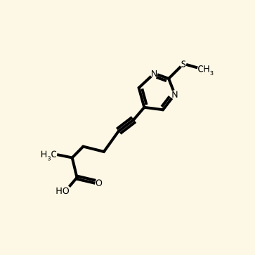 CSc1ncc(C#CCCC(C)C(=O)O)cn1